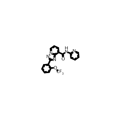 O=C(Nc1ccccn1)c1cccn2nc(-c3ccccc3OC(F)(F)F)nc12